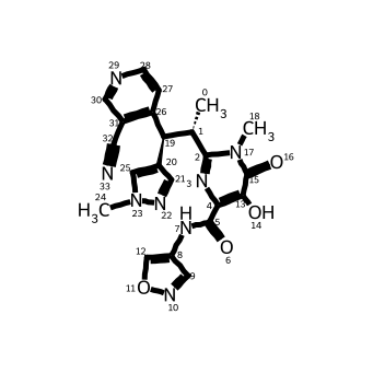 C[C@H](c1nc(C(=O)Nc2cnoc2)c(O)c(=O)n1C)[C@@H](c1cnn(C)c1)c1ccncc1C#N